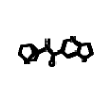 O=C(NC1CN2CCC1C2)c1cnc2ccsc2c1